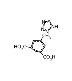 Cc1cc(C(=O)O)cc(C(=O)O)c1.c1nnn[nH]1